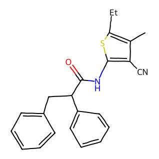 CCc1sc(NC(=O)C(Cc2ccccc2)c2ccccc2)c(C#N)c1C